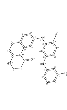 O=C1CCNC2=COc3ccc(Nc4nc(Nc5cccc(O)c5)ncc4F)cc3N12